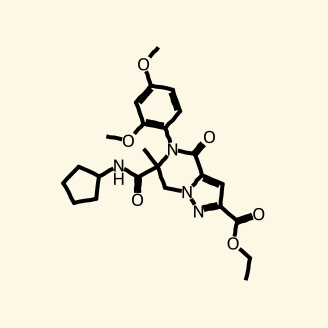 CCOC(=O)c1cc2n(n1)CC(C)(C(=O)NC1CCCC1)N(c1ccc(OC)cc1OC)C2=O